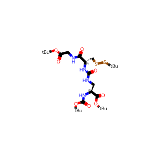 CC(C)(C)OC(=O)CNC(=O)[C@H](CSSC(C)(C)C)NC(=O)NC[C@H](NC(=O)OC(C)(C)C)C(=O)OC(C)(C)C